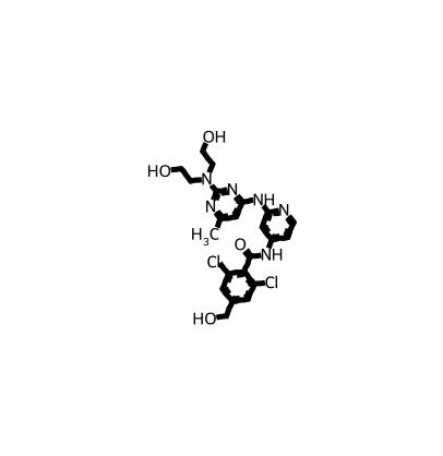 Cc1cc(Nc2cc(NC(=O)c3c(Cl)cc(CO)cc3Cl)ccn2)nc(N(CCO)CCO)n1